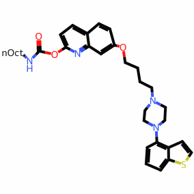 CCCCCCCCNC(=O)Oc1ccc2ccc(OCCCCN3CCN(c4cccc5sccc45)CC3)cc2n1